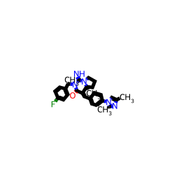 Cc1cn(-c2ccc(/C=C3/C(=O)N(C(C)c4ccc(F)cc4)C(=N)N4CCCC34C)cc2C)cn1